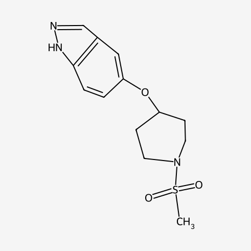 CS(=O)(=O)N1CCC(Oc2ccc3[nH]ncc3c2)CC1